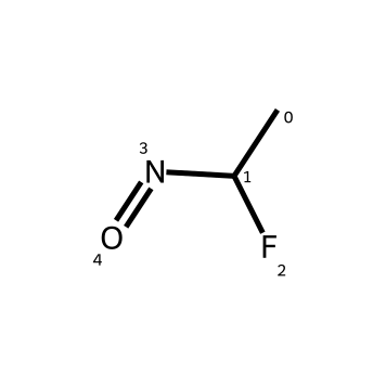 CC(F)N=O